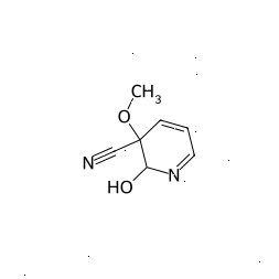 COC1(C#N)C=CC=NC1O